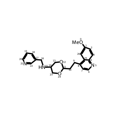 COc1ccc2nccc(CCC3OCC(NCc4cccnc4)CO3)c2c1